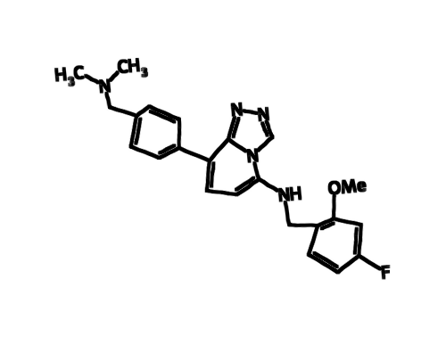 COc1cc(F)ccc1CNc1ccc(-c2ccc(CN(C)C)cc2)c2nncn12